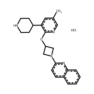 Cc1cnc(OC2CN(c3ccc4ccccc4n3)C2)c(C2CCNCC2)c1.Cl